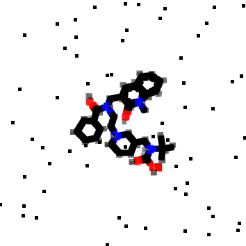 Cn1c(=O)c(CN(CCN2CCCC(CN(C(=O)O)C(C)(C)C)C2)C(=O)C2CCCCC2)cc2ccccc21